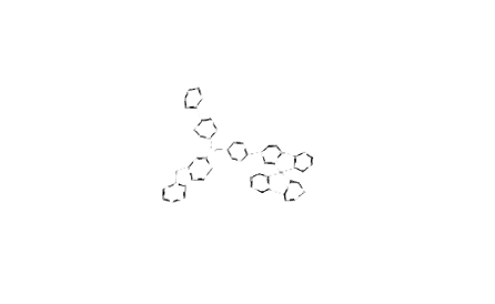 c1ccc(-c2ccc(N(c3ccc(-c4ccc5c(c4)C4(c6ccccc6-c6ccccc64)c4ccccc4-5)cc3)c3ccc4c(c3)Cc3ccccc3-4)cc2)cc1